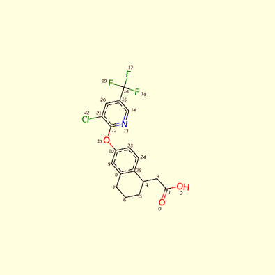 O=C(O)CC1CCCc2cc(Oc3ncc(C(F)(F)F)cc3Cl)ccc21